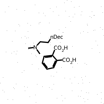 CCCCCCCCCCCCN(C)C.O=C(O)c1ccccc1C(=O)O